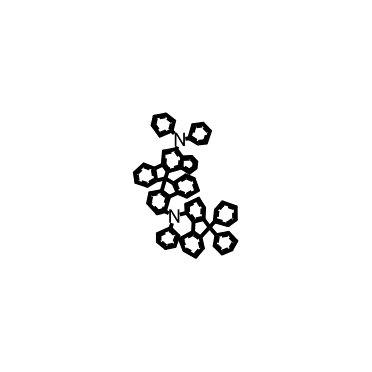 c1ccc(N(c2cccc3c2-c2ccccc2C3(c2ccccc2)c2ccccc2)c2cccc3c2-c2ccccc2C32c3ccccc3-c3cc(N(c4ccccc4)c4ccccc4)c4ccccc4c32)cc1